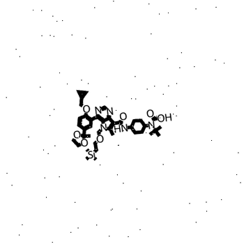 Cc1c(C(=O)NC2CCC(N(C(=O)O)C(C)(C)C)CC2)c2ncnc(-c3cc(C4(C)OCCO4)ccc3OCC3CC3)c2n1COCC[Si](C)(C)C